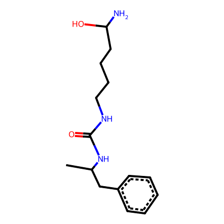 CC(Cc1ccccc1)NC(=O)NCCCCC(N)O